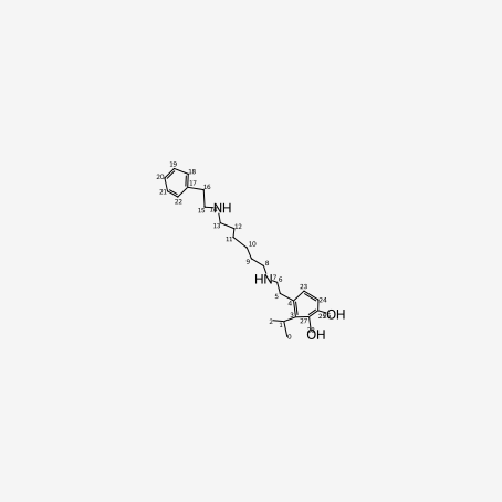 CC(C)c1c(CCNCCCCCCNCCc2ccccc2)ccc(O)c1O